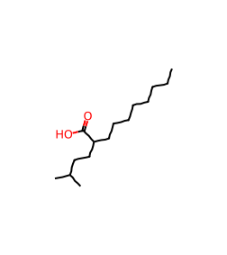 CCCCCCCCC(CCC(C)C)C(=O)O